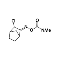 CNC(=O)ON=C1C2CCC(C2)C1Cl